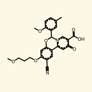 COCCCOc1cc2c(cc1C#N)-c1cc(=O)c(C(=O)O)cn1C(c1cc(C)ccc1OC)O2